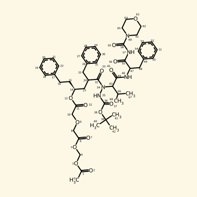 CC(=O)OCOC(=O)COCC(=O)O[C@@H](CCc1ccccc1)CC(Cc1ccccc1)C(=O)N(NC(=O)OC(C)(C)C)C(C(=O)NC(Cc1ccccc1)C(=O)NC(=O)N1CCOCC1)C(C)C